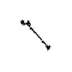 CC(OC(=O)ON1C(=O)CCC1=O)c1cc(CNC(=O)CCOCCOCCOCCOCCNC(=O)CCCC[C@@H]2SC[C@@H]3NC(=O)N[C@@H]32)ccc1[N+](=O)[O-]